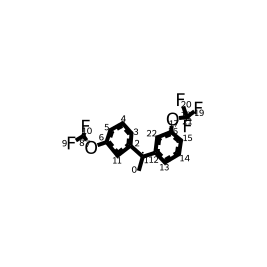 C[C](c1cccc(OC(F)F)c1)c1cccc(OC(F)(F)F)c1